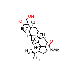 C=C(C)[C@@H]1CC[C@]2(C(=O)NC)CC[C@]3(C)C(CC[C@@H]4[C@@]5(C)CC[C@H](O)[C@@](C)(CO)[C@@H]5CC[C@]43C)[C@@H]12